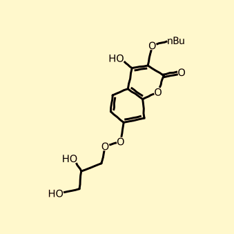 CCCCOc1c(O)c2ccc(OOCC(O)CO)cc2oc1=O